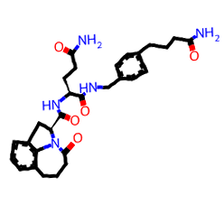 NC(=O)CCCc1ccc(CNC(=O)[C@H](CCC(N)=O)NC(=O)[C@@H]2Cc3cccc4c3N2C(=O)CCC4)cc1